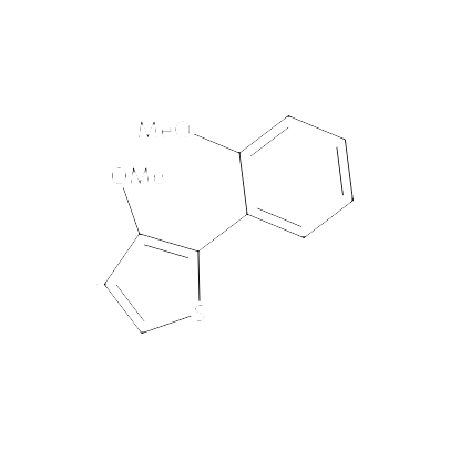 COc1[c]csc1-c1ccccc1OC